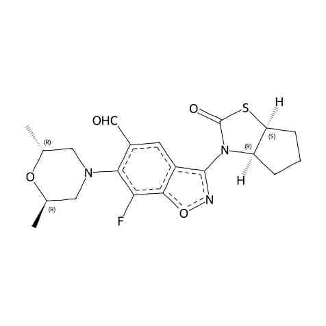 C[C@@H]1CN(c2c(C=O)cc3c(N4C(=O)S[C@H]5CCC[C@H]54)noc3c2F)C[C@@H](C)O1